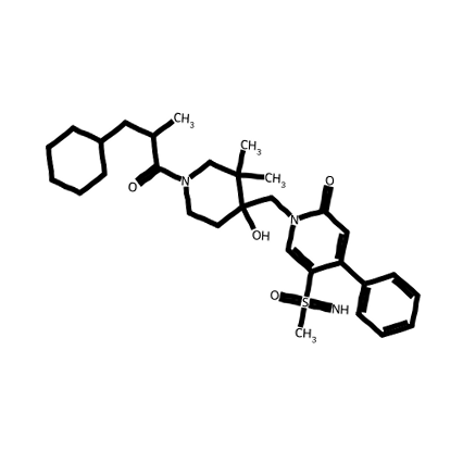 CC(CC1CCCCC1)C(=O)N1CCC(O)(Cn2cc(S(C)(=N)=O)c(-c3ccccc3)cc2=O)C(C)(C)C1